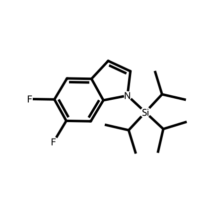 CC(C)[Si](C(C)C)(C(C)C)n1ccc2cc(F)c(F)cc21